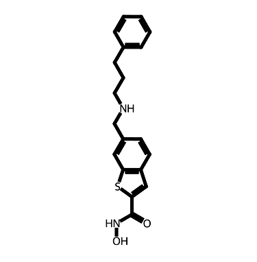 O=C(NO)c1cc2ccc(CNCCCc3ccccc3)cc2s1